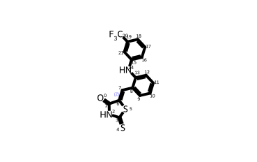 O=C1NC(=S)S/C1=C\c1ccccc1Nc1cccc(C(F)(F)F)c1